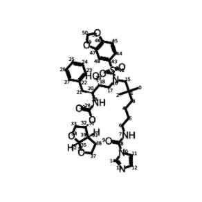 CC(C)(CCCCNC(=O)n1ccnc1)CN(C[C@@H](O)[C@H](Cc1ccccc1)NC(=O)O[C@H]1CO[C@H]2OCC[C@H]21)S(=O)(=O)c1ccc2c(c1)OCO2